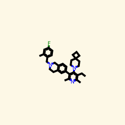 CCc1c(C)nc(C)c(-c2ccc3c(c2)CCN(Cc2ccc(F)cc2C)C3)c1N1CCC2(CCC2)CC1